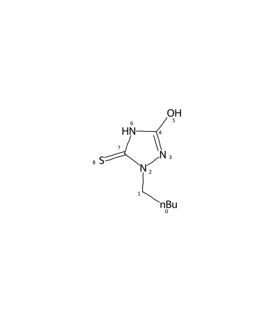 CCCCCn1nc(O)[nH]c1=S